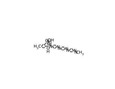 CN=Nc1ccc(N=Nc2ccc(N=Nc3ccc(N=Nc4c(S(=O)(=O)O)cc5cc(C)ccc5c4O)cc3)cc2)cc1